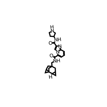 O=C(NC1CCNC1)c1cn2c(C(=O)NCC34CC5C[C@@H]5C5(CC5C3)C4)cccc2n1